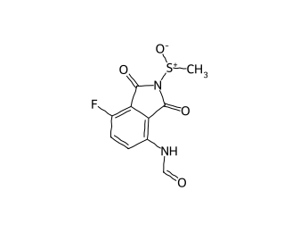 C[S+]([O-])N1C(=O)c2c(F)ccc(NC=O)c2C1=O